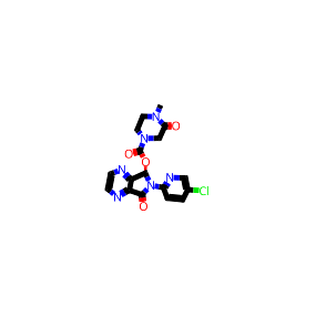 CN1CCN(C(=O)O[C@@H]2c3nccnc3C(=O)N2c2ccc(Cl)cn2)CC1=O